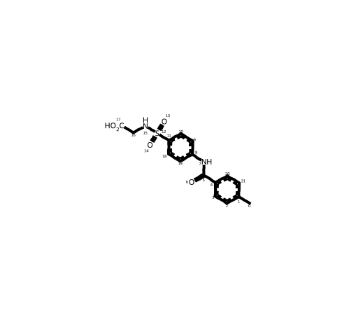 Cc1ccc(C(=O)Nc2ccc(S(=O)(=O)NCC(=O)O)cc2)cc1